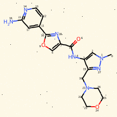 Cn1cc(NC(=O)c2coc(-c3ccnc(N)c3)n2)c(CN2CCOCC2)n1